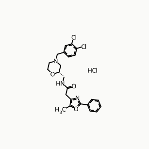 Cc1oc(-c2ccccc2)nc1CC(=O)NC[C@H]1CN(Cc2ccc(Cl)c(Cl)c2)CCO1.Cl